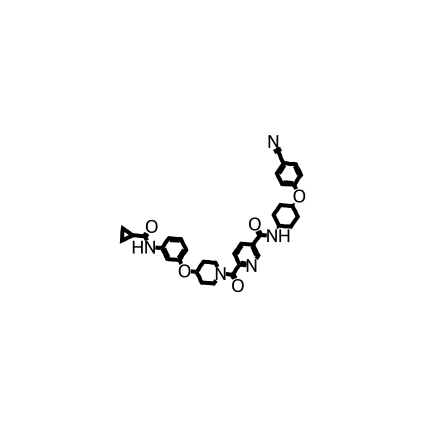 N#Cc1ccc(O[C@H]2CC[C@@H](NC(=O)c3ccc(C(=O)N4CCC(Oc5cccc(NC(=O)C6CC6)c5)CC4)nc3)CC2)cc1